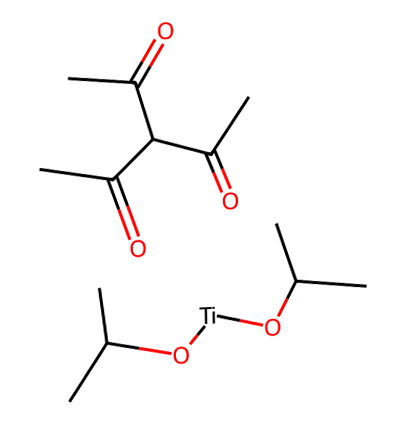 CC(=O)C(C(C)=O)C(C)=O.CC(C)[O][Ti][O]C(C)C